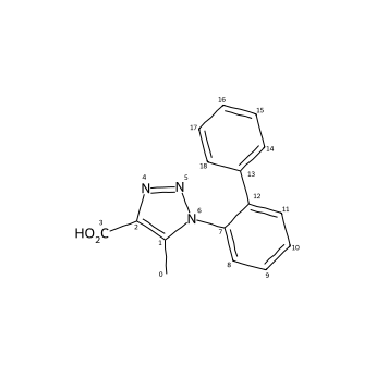 Cc1c(C(=O)O)nnn1-c1ccccc1-c1ccccc1